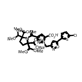 COC(OC)C1(C(OC)OC)CCC(C(OC)OC)(C(OC)OC)N1C(=O)c1cc(C(=O)O)n(Cc2cc(-c3ccc(Cl)s3)on2)n1